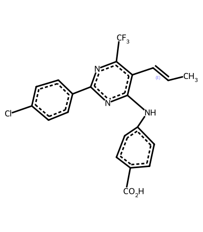 C/C=C/c1c(Nc2ccc(C(=O)O)cc2)nc(-c2ccc(Cl)cc2)nc1C(F)(F)F